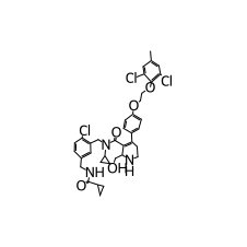 Cc1cc(Cl)c(OCCOc2ccc(C3=C(C(=O)N(Cc4cc(CNC(=O)C5CC5)ccc4Cl)C4CC4)C(CO)NCC3)cc2)c(Cl)c1